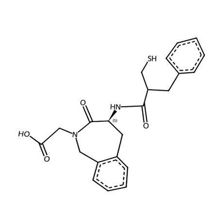 O=C(O)CN1Cc2ccccc2C[C@H](NC(=O)C(CS)Cc2ccccc2)C1=O